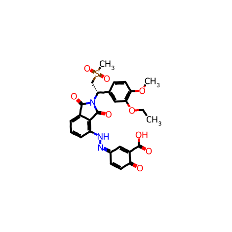 CCOc1cc([C@@H](CS(C)(=O)=O)N2C(=O)c3cccc(N/N=C4/C=CC(=O)C(C(=O)O)=C4)c3C2=O)ccc1OC